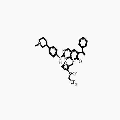 C=C(c1ccccc1)c1cc2cnc(Nc3ccc(C4CCCN(C)C4)cc3)nc2n(Cc2occc2[S+]([O-])CC(F)(F)F)c1=O